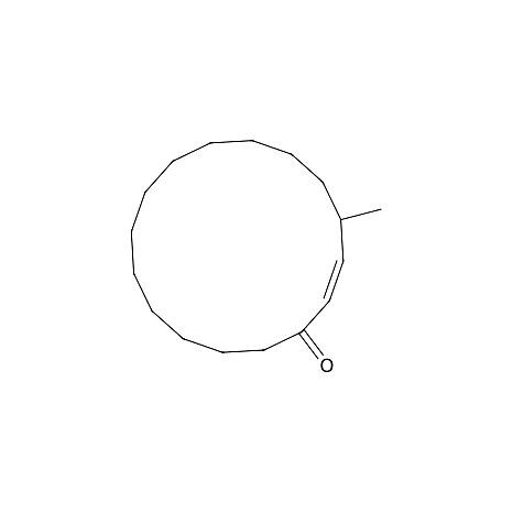 CC1C=CC(=O)CCCCCCCCCCCC1